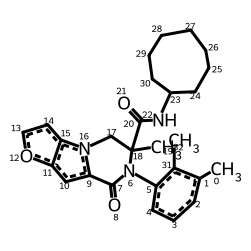 Cc1cccc(N2C(=O)c3cc4occc4n3CC2(C)C(=O)NC2CCCCCCC2)c1C